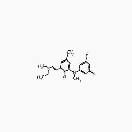 CCN(C)C=Nc1cc(C)cc(N(C)c2cc(F)cc(F)c2)c1Cl